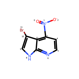 O=[N+]([O-])c1ccnc2[nH]cc(Br)c12